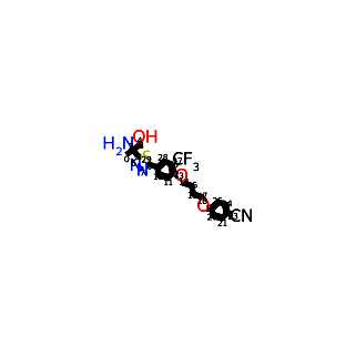 CC(N)(CO)c1nnc(-c2ccc(OCCCCOc3ccc(C#N)cc3)c(C(F)(F)F)c2)s1